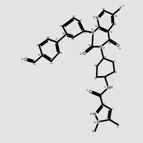 Cc1cc(C(=O)NC2CCC(n3c(=O)c4cc(F)cnc4n(-c4cccc(-c5ccc(C=O)cc5)c4)c3=O)CC2)nn1C